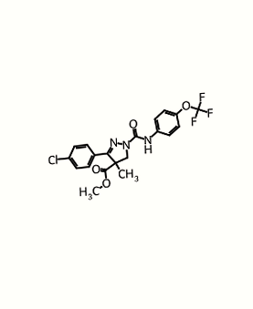 COC(=O)C1(C)CN(C(=O)Nc2ccc(OC(F)(F)F)cc2)N=C1c1ccc(Cl)cc1